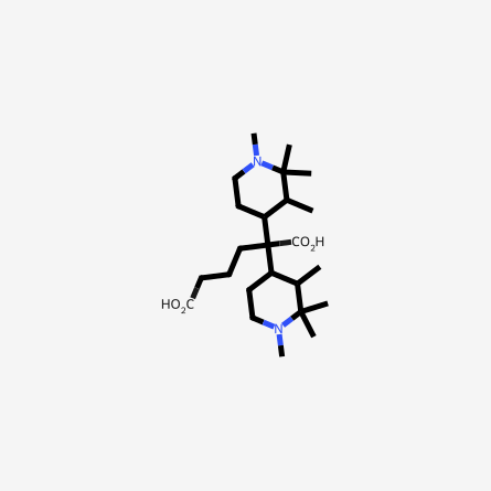 CC1C(C(CCCC(=O)O)(C(=O)O)C2CCN(C)C(C)(C)C2C)CCN(C)C1(C)C